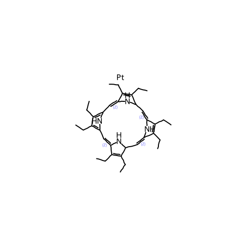 CCC1=C(CC)C2/C=c3\[nH]/c(c(CC)c3CC)=C\C3N/C(=C\c4[nH]c(c(CC)c4CC)/C=C/1N2)C(CC)=C3CC.[Pt]